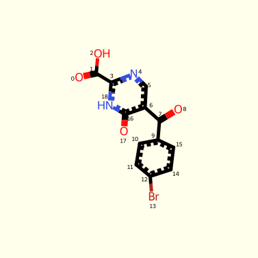 O=C(O)c1ncc(C(=O)c2ccc(Br)cc2)c(=O)[nH]1